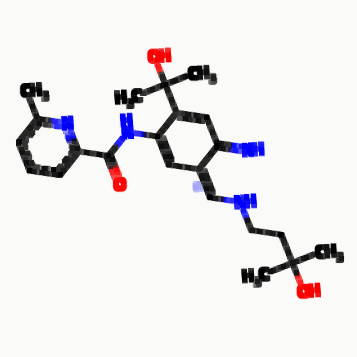 Cc1cccc(C(=O)NC2=C/C(=C/NCCC(C)(C)O)C(=N)C=C2C(C)(C)O)n1